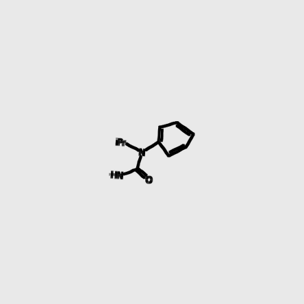 CC(C)N(C([NH])=O)c1ccccc1